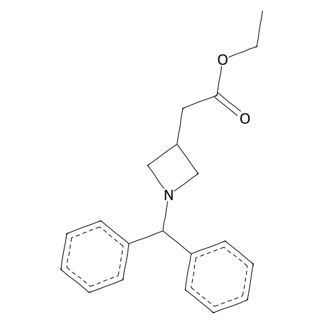 CCOC(=O)CC1CN(C(c2ccccc2)c2ccccc2)C1